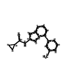 Cc1cc(-c2cccc3nc(NC(=O)C4CC4)nn23)ccn1